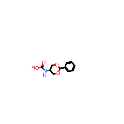 O=C(O)NC1COC(c2ccccc2)OC1